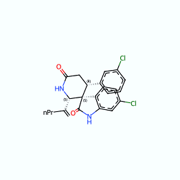 C=C(CCC)[C@@H]1NC(=O)C[C@H](c2cccc(Cl)c2)[C@@]12C(=O)Nc1cc(Cl)ccc12